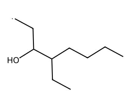 [CH2]CC(O)C(CC)CCCC